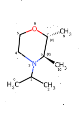 CC(C)N1CCO[C@H](C)[C@H]1C